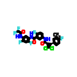 O=C(Nc1cc(NC(=O)C(F)F)c(F)cc1F)c1cc(NC(=O)[C@H]2[C@H](c3ccc(F)c(C(F)(F)F)c3)C2(Cl)Cl)ccc1F